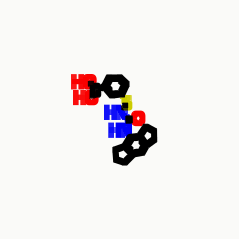 O=C(NSc1cccc(B(O)O)c1)Nc1c2c(cc3c1CCC3)CCC2